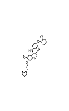 COc1cc2c(Nc3ccc(Oc4ccccc4OC)cc3)c(C#N)cnc2cc1OCCCn1cccn1